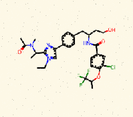 CCn1cc(-c2ccc(CC(CCO)NC(=O)c3ccc(OC(C)C(F)(F)F)c(Cl)c3)cc2)nc1C(C)N(C)C(C)=O